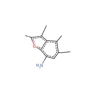 Cc1cc(N)c2oc(C)c(C)c2c1C